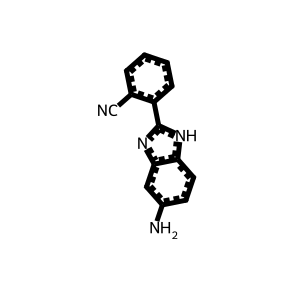 N#Cc1ccccc1-c1nc2cc(N)ccc2[nH]1